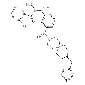 CN(C(=O)c1ccccc1Cl)C1CCc2ccc(C(=O)N3CCC4(CCN(Cc5ccncc5)CC4)CC3)cc21